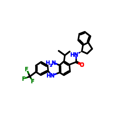 CC(C)c1c(C(=O)N[C@H]2CCc3ccccc32)ccc(Nc2cccc(C(F)(F)F)c2)c1N